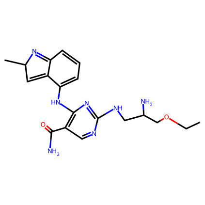 CCOCC(N)CNc1ncc(C(N)=O)c(Nc2cccc3c2=CC(C)N=3)n1